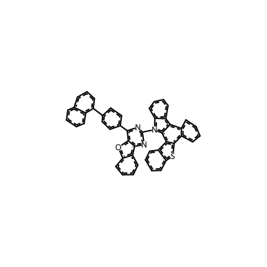 c1ccc2c(-c3ccc(-c4nc(-n5c6ccccc6c6c7ccccc7c7sc8ccccc8c7c65)nc5c4oc4ccccc45)cc3)cccc2c1